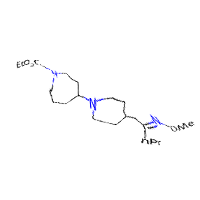 CCCC(=NOC)C1CCN(C2CCCN(C(=O)OCC)CC2)CC1